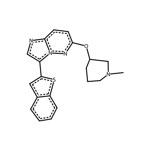 CN1CCCC(Oc2ccc3ncc(-c4cc5ccccc5s4)n3n2)C1